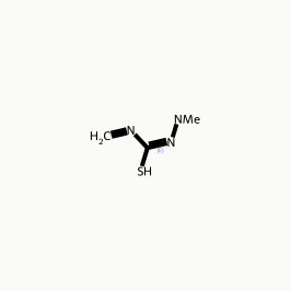 C=N/C(S)=N\NC